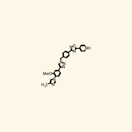 COc1cc(-c2cn(Cc3ccc(-c4noc(C5=CCNC=C5)n4)cc3)nn2)ccc1-n1cnc(C)c1